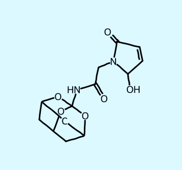 O=C(CN1C(=O)C=CC1O)NC12OC3CC(CC(C3)O1)O2